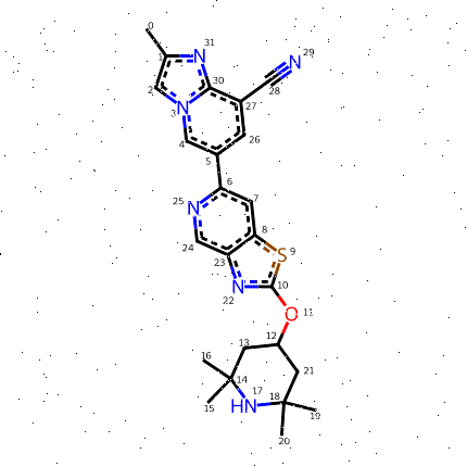 Cc1cn2cc(-c3cc4sc(OC5CC(C)(C)NC(C)(C)C5)nc4cn3)cc(C#N)c2n1